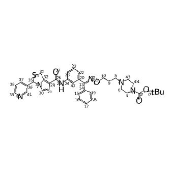 CC(C)(C)OC(=O)N1CCN(CCCON=C(c2ccccc2)c2cccc(NC(=O)c3ccn4c3CSC4c3cccnc3)c2)CC1